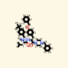 CC(C)C[C@@H](C(=O)N[C@@H](Cc1ccc(OCc2ccccc2)cc1)C(=O)N1CCN(Cc2ccccc2)CC1)N(C)Cc1ccc(C(C)(C)C)cc1